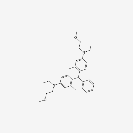 CCN(CCOC)c1ccc(C(c2ccccc2)c2ccc(N(CC)CCOC)cc2C)c(C)c1